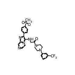 CS(=O)(=O)c1ccc(-c2nc3cnccn3c2NCC(=O)N2CCN(c3cccc(C(F)(F)F)c3)CC2)cc1